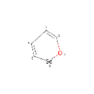 [C]1=CC=CO[Se]1